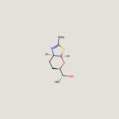 CCCC[C@@H](O)[C@H]1CC[C@H]2N=C(NC)S[C@H]2O1